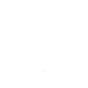 COCC1=C(C(=O)OC)[C@H](c2ccc(F)c(F)c2)N(C(=O)N[C@@H]2CCN([C@H]3CC[C@@H](c4ccccc4O)CC3)C2)C(=O)N1